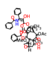 CO[C@@]12CO[C@@H]1C[C@H](O)[C@@]1(C)C(=O)[C@H](OC(C)=O)C3=C(C)[C@@H](OC(=O)[C@H](O)[C@@H](NC(=O)c4ccccc4)c4ccccc4)C[C@@](O)([C@@H](OC(=O)c4ccccc4)[C@H]21)C3(C)C